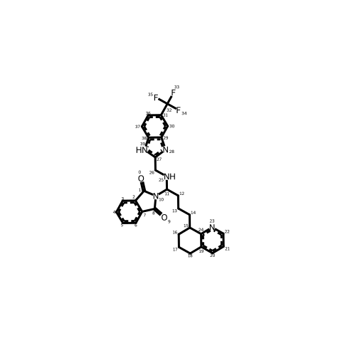 O=C1c2ccccc2C(=O)N1C(CCCC1CCCc2cccnc21)NCc1nc2cc(C(F)(F)F)ccc2[nH]1